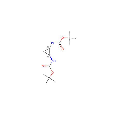 CC(C)(C)OC(=O)N[C@H]1C[C@@H]1NC(=O)OC(C)(C)C